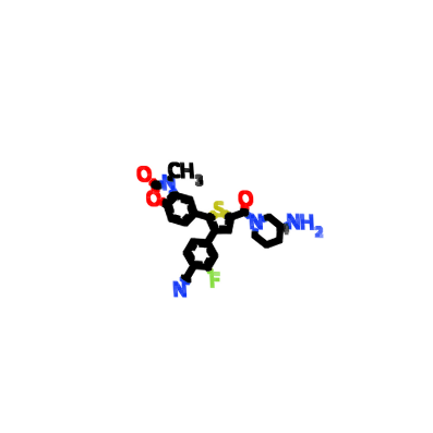 Cn1c(=O)oc2ccc(-c3sc(C(=O)N4CCC[C@@H](N)C4)cc3-c3ccc(C#N)c(F)c3)cc21